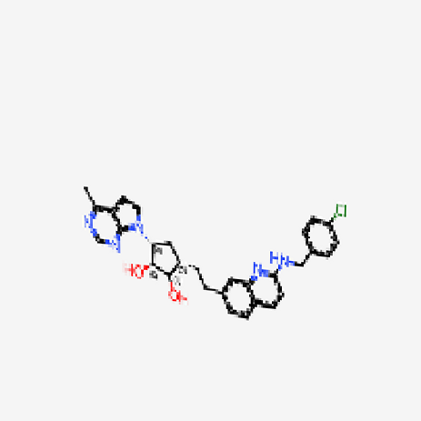 Cc1ncnc2c1ccn2[C@@H]1C[C@H](CCc2ccc3ccc(NCc4ccc(Cl)cc4)nc3c2)[C@@H](O)[C@H]1O